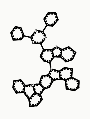 c1ccc(-c2nc(-c3ccccc3)nc(-c3ccc(-n4c5cc6c(cc5c5c7ccccc7ccc54)c4cccc5c7ccccc7n6c54)c4c3sc3ccccc34)n2)cc1